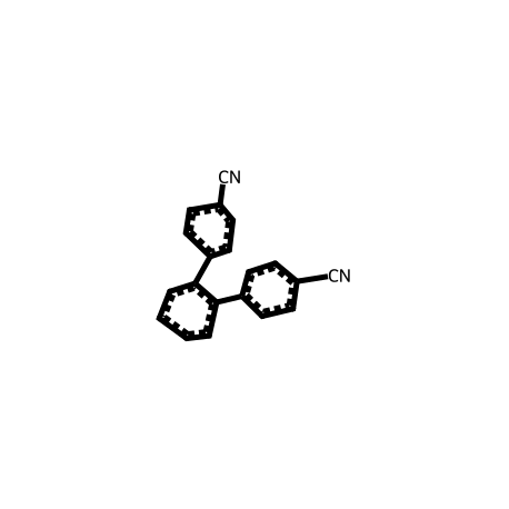 N#Cc1ccc(-c2ccccc2-c2ccc(C#N)cc2)cc1